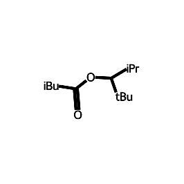 CCC(C)C(=O)OC(C(C)C)C(C)(C)C